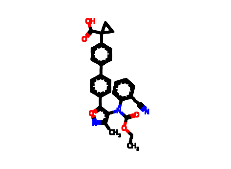 CCOC(=O)N(c1ccccc1C#N)c1c(C)noc1-c1ccc(-c2ccc(C3(C(=O)O)CC3)cc2)cc1